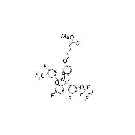 COC(=O)CCCCOc1ccc(CC(NC(=O)c2ccc(F)c(C(F)(F)F)c2)(c2ccc(F)cc2)c2cc(F)cc(OC(F)(F)C(F)F)c2)cc1